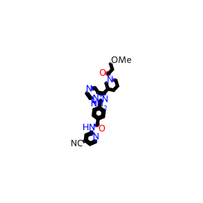 COCCC(=O)N1CCCC(C2=C3C=NC=C[N+]3(N)C(c3ccc(C(=O)Nc4cc(C#N)ccn4)cc3)=N2)C1